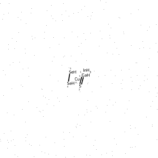 [Cu].[InH3].[S]=[GaH].[SeH][SeH]